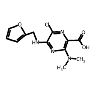 CN(C)c1nc(NCc2ccco2)c(Cl)nc1C(=O)O